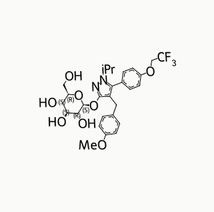 COc1ccc(Cc2c(O[C@@H]3O[C@H](CO)[C@@H](O)[C@H](O)[C@H]3O)nn(C(C)C)c2-c2ccc(OCC(F)(F)F)cc2)cc1